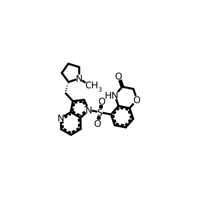 CN1CCC[C@H]1Cc1cn(S(=O)(=O)c2cccc3c2NC(=O)CO3)c2cccnc12